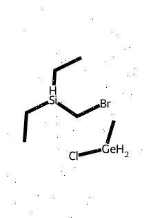 CC[SiH](CC)CBr.[CH3][GeH2][Cl]